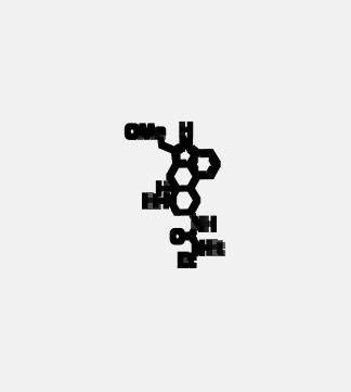 CCN(CC)C(=O)N[C@H]1CC2c3cccc4[nH]c(COC)c(c34)C[C@H]2N(CC)C1